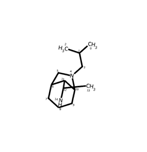 CC(C)CN1CC2CC3CC1C2C(C)N3